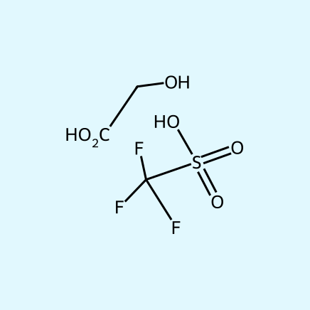 O=C(O)CO.O=S(=O)(O)C(F)(F)F